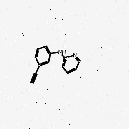 C#Cc1cccc(Nc2ccccn2)c1